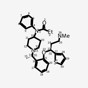 CCC(=O)N(c1ccccc1)C1CCN([C@@H](C)c2ccccc2O[C@@H](CCNC)c2cccs2)CC1